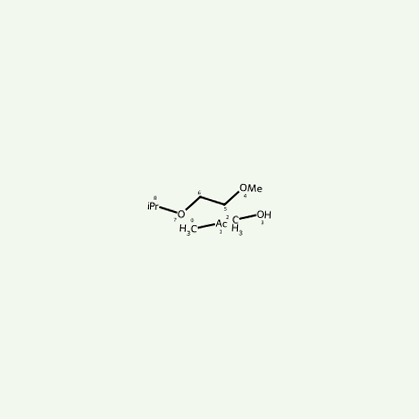 CC(C)=O.CO.COCCOC(C)C